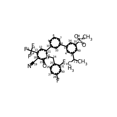 CC(C)c1cc(-c2cccc(-c3cc(C(F)(F)F)c(C#N)c(=O)n3Cc3ccc(F)cc3F)c2)cc(S(C)(=O)=O)c1